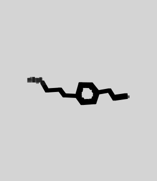 [CH]=CCc1ccc(CCCCCCCCCC)cc1